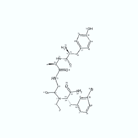 CCN(C(=O)CNC(=O)[C@@H](C)NC(=O)[C@@H](N)Cc1ccc(O)cc1)[C@@H](Cc1cccc(Br)c1)C(N)=O